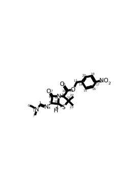 CN(C)C=N[C@@H]1C(=O)N2C(C(=O)OCc3ccc([N+](=O)[O-])cc3)C(C)(C)S[C@@H]12